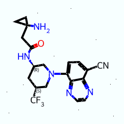 N#Cc1ccc(N2C[C@H](NC(=O)CC3(N)CC3)C[C@H](C(F)(F)F)C2)c2nccnc12